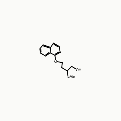 CNC(CO)CCOc1cccc2ccccc12